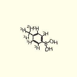 [2H]c1c([2H])c(C([2H])([2H])[2H])c([2H])c([2H])c1B(O)O